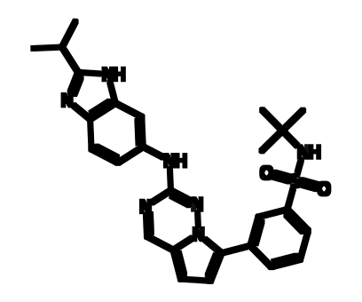 CC(C)c1nc2ccc(Nc3ncc4ccc(-c5cccc(S(=O)(=O)NC(C)(C)C)c5)n4n3)cc2[nH]1